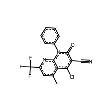 Cc1cc(C(F)(F)F)nc2c1c(Cl)c(C#N)c(=O)n2-c1ccccc1